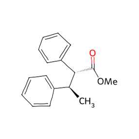 COC(=O)[C@@H](c1ccccc1)[C@@H](C)c1ccccc1